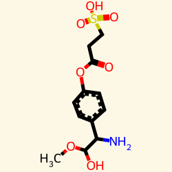 COC(O)C(N)c1ccc(OC(=O)CCS(=O)(=O)O)cc1